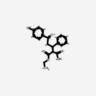 CCOC(=O)C(C(=O)O)C(CC(=O)c1ccc(Cl)cc1)c1ccccc1